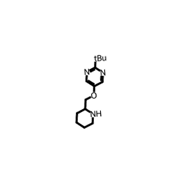 CC(C)(C)c1ncc(OCC2CCCCN2)cn1